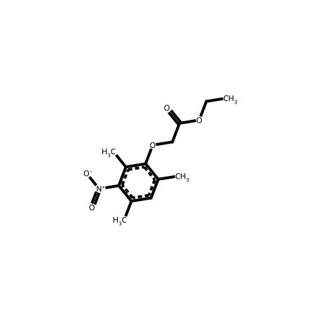 CCOC(=O)COc1c(C)cc(C)c([N+](=O)[O-])c1C